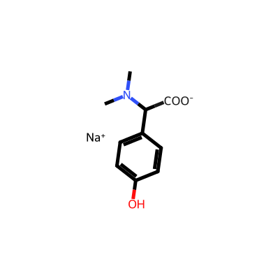 CN(C)C(C(=O)[O-])c1ccc(O)cc1.[Na+]